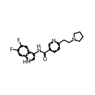 O=C(Nc1c[nH]c2cc(F)c(F)cc12)c1ccc(CCN2CCCC2)nc1